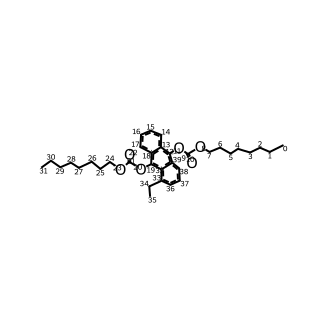 CCCCCCCCOC(=O)Oc1c2ccccc2c(OC(=O)OCCCCCCCC)c2c(CC)cccc12